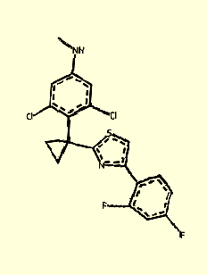 CNc1cc(Cl)c(C2(c3nc(-c4ccc(F)cc4F)cs3)CC2)c(Cl)c1